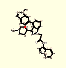 CC(=O)N1CCC(c2nn(CC(=O)Nc3cnn4ncccc34)c3cccc(-c4cc5c(cnn5C)cc4F)c23)CC1